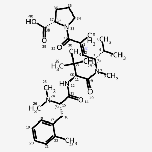 C/C(=C\[C@H](C(C)C)N(C)C(=O)[C@@H](NC(=O)[C@H](Cc1ccccc1C)N(C)C)C(C)(C)C)C(=O)N1CCC[C@H]1C(=O)O